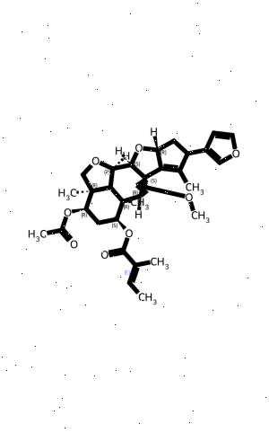 C/C=C(\C)C(=O)O[C@H]1C[C@@H](OC(C)=O)[C@@]2(C)CO[C@@H]3C2[C@@]1(C)[C@H]1CC(OC)=C[C@]12C1=C(C)C(c4ccoc4)C[C@H]1O[C@H]32